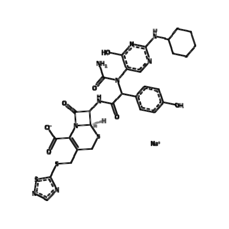 NC(=O)N(c1cnc(NC2CCCCC2)nc1O)C(C(=O)NC1C(=O)N2C(C(=O)[O-])=C(CSc3ncns3)CS[C@H]12)c1ccc(O)cc1.[Na+]